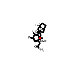 CNCCC(=O)N1C2CC[C@@H]1CC(c1c(F)c(F)cc(CC(N)=O)c1F)C2